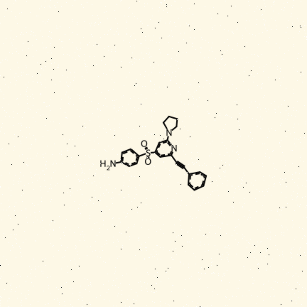 Nc1ccc(S(=O)(=O)c2cc(C#Cc3ccccc3)nc(N3CCCC3)c2)cc1